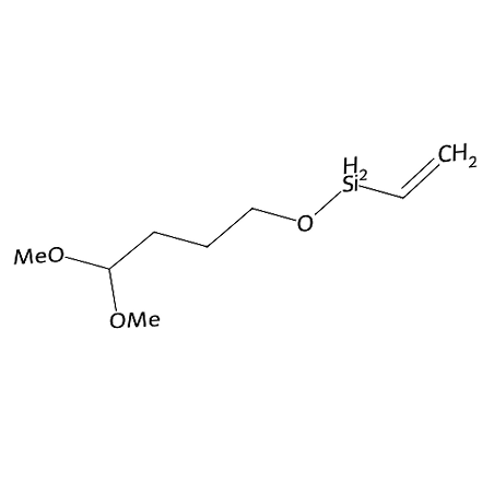 C=C[SiH2]OCCCC(OC)OC